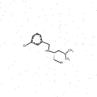 CCc1cccc(CN[C@@H](CC(C)C)CN(C)C)c1